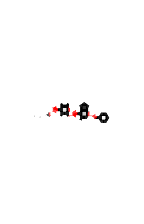 COCOC(=O)c1c(C)c(C)c(OC(=O)c2c(C)cc(OCc3ccccc3)c3c2CC=C3)c(C)c1C